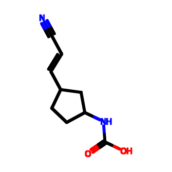 N#CC=CC1CCC(NC(=O)O)C1